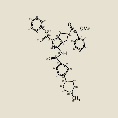 CO[C@@H](C(=O)N1Cc2c(NC(=O)c3ccc(N4CCN(C)CC4)cc3)nn(C(=O)Oc3ccccc3)c2C1)c1ccccc1